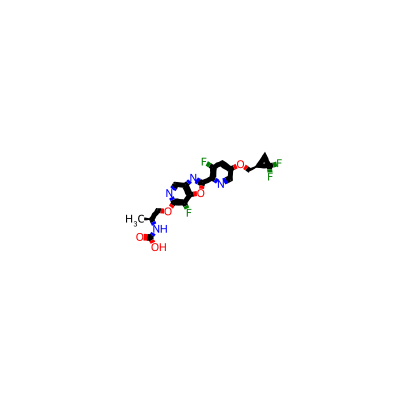 C[C@@H](COc1ncc2nc(-c3ncc(OC[C@H]4CC4(F)F)cc3F)oc2c1F)NC(=O)O